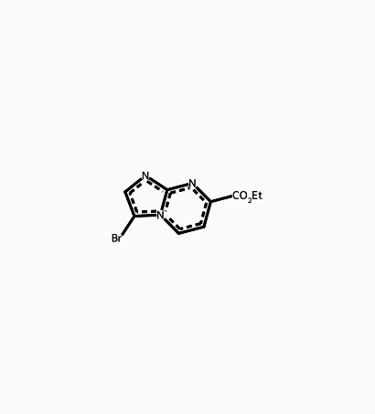 CCOC(=O)c1ccn2c(Br)cnc2n1